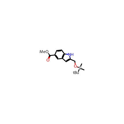 COC(=O)c1ccc2[nH]c(CO[Si](C)(C)C(C)(C)C)cc2c1